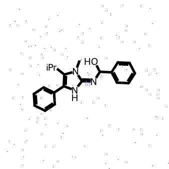 CC(C)c1c(-c2ccccc2)[nH]/c(=N/C(O)c2ccccc2)n1C